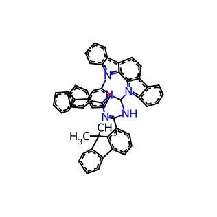 CC1(C)c2ccccc2-c2cccc(C3=NC(c4ccccc4)=NC(n4c5ccccc5c5ccc6c7ccccc7n(-c7cccc(-c8ccccc8)c7)c6c54)N3)c21